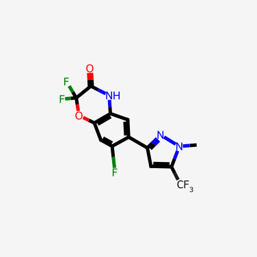 Cn1nc(-c2cc3c(cc2F)OC(F)(F)C(=O)N3)cc1C(F)(F)F